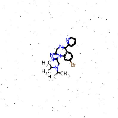 CC(C)N(Cc1nnc2n1-c1cc(Br)ccc1C(c1ccccn1)=NC2)C(C)C